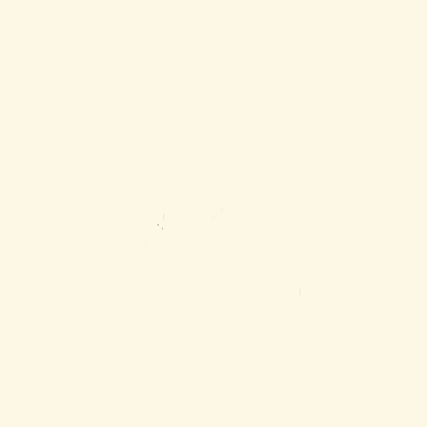 O=C(O)NCc1cccc(-c2cc(Oc3ccccc3)c3occ(CO)c3c2)c1